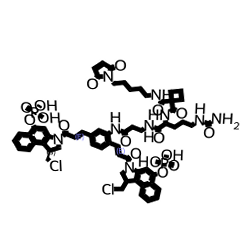 NC(=O)NCCCC(NC(=O)C1(C(=O)NCCCCCN2C(=O)C=CC2=O)CCC1)C(=O)NCCC(=O)Nc1cc(/C=C/C(=O)N2C[C@@H](CCl)c3c2cc(OP(=O)(O)O)c2ccccc32)ccc1/C=C/C(=O)N1CC(CCl)c2c1cc(OP(=O)(O)O)c1ccccc21